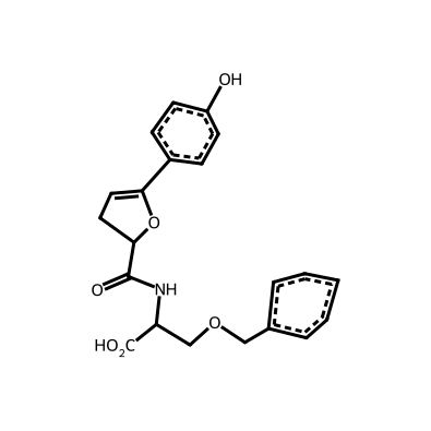 O=C(O)C(COCc1ccccc1)NC(=O)C1CC=C(c2ccc(O)cc2)O1